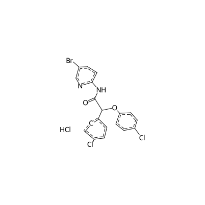 Cl.O=C(Nc1ccc(Br)cn1)C(Oc1ccc(Cl)cc1)c1ccc(Cl)cc1